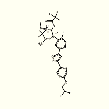 CN=[S@@]1(=O)C(OC(=O)C(F)(F)F)[C@@](C)(c2cc(-c3cc(-c4cnc(OCC(F)F)cn4)no3)ccc2F)N=C(N)C1(C)C